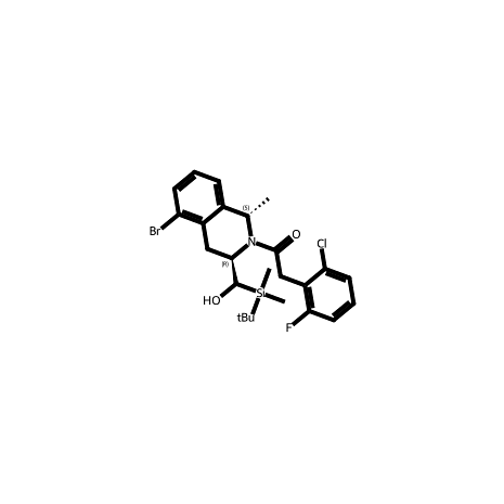 C[C@H]1c2cccc(Br)c2C[C@H](C(O)[Si](C)(C)C(C)(C)C)N1C(=O)Cc1c(F)cccc1Cl